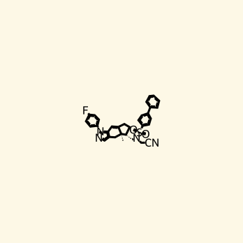 C[C@]12Cc3cnn(-c4ccc(F)cc4)c3C=C1CC[C@@H]2CN(CC#N)S(=O)(=O)c1ccc(-c2ccccc2)cc1